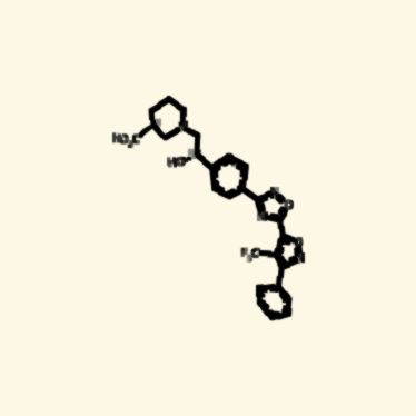 O=C(O)[C@H]1CCCN(C[C@@H](O)c2ccc(-c3noc(-c4onc(-c5ccccc5)c4C(F)(F)F)n3)cc2)C1